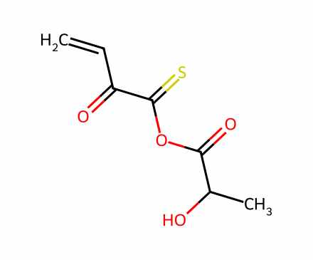 C=CC(=O)C(=S)OC(=O)C(C)O